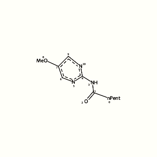 CCCCCC(=O)Nc1ncc(OC)cn1